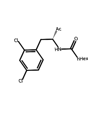 CCCCCCC(=O)N[C@H](Cc1ccc(Cl)cc1Cl)C(C)=O